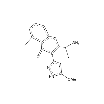 COc1cc(-n2c(C(C)N)cc3cccc(C)c3c2=O)n[nH]1